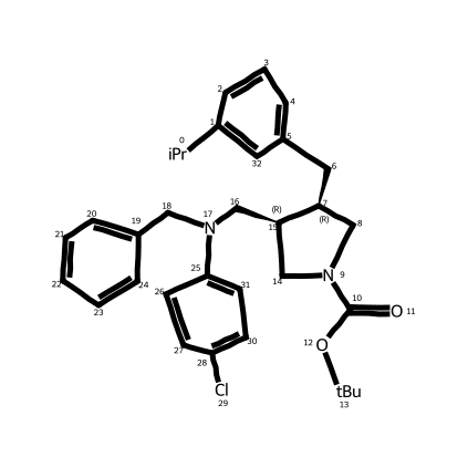 CC(C)c1cccc(C[C@H]2CN(C(=O)OC(C)(C)C)C[C@H]2CN(Cc2ccccc2)c2ccc(Cl)cc2)c1